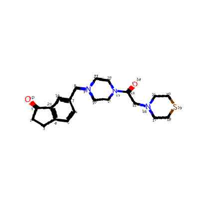 O=C1CCc2ccc(CN3CCN(C(=O)CN4CCSCC4)CC3)cc21